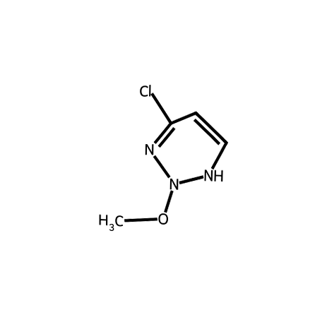 CON1N=C(Cl)C=CN1